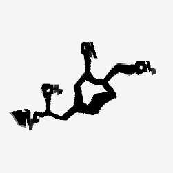 CCc1ccc(C[C](C)C)cc1O